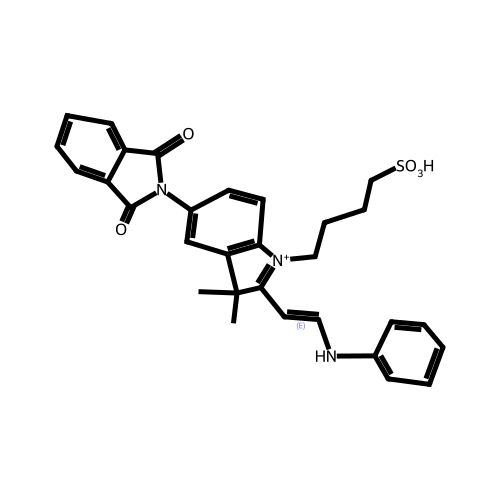 CC1(C)C(/C=C/Nc2ccccc2)=[N+](CCCCS(=O)(=O)O)c2ccc(N3C(=O)c4ccccc4C3=O)cc21